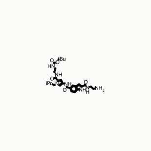 CC(C)Cn1cc(NC(=O)c2ccc3[nH]c(C(=O)NCCN)cc3c2)cc1C(=O)NCCNC(=O)OC(C)(C)C